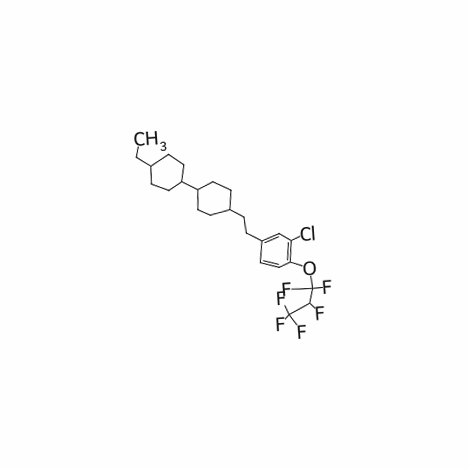 CCC1CCC(C2CCC(CCc3ccc(OC(F)(F)C(F)C(F)(F)F)c(Cl)c3)CC2)CC1